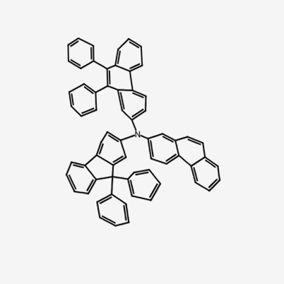 c1ccc(-c2c(-c3ccccc3)c3cc(N(c4ccc5c(c4)C(c4ccccc4)(c4ccccc4)c4ccccc4-5)c4ccc5c(ccc6ccccc65)c4)ccc3c3ccccc23)cc1